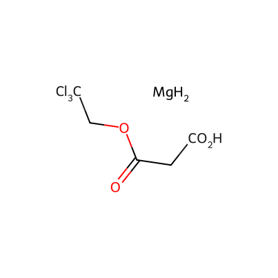 O=C(O)CC(=O)OCC(Cl)(Cl)Cl.[MgH2]